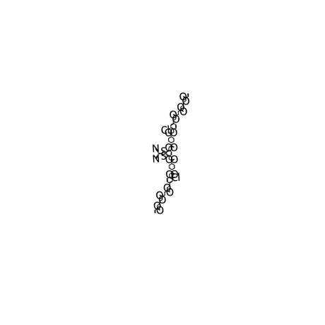 C=CC(=O)OCCOC(=O)CCC(=O)OCc1ccc(OC(=O)[C@H]2CC[C@H](C(=O)Oc3ccc(OC(=O)[C@H]4CC[C@H](C(=O)Oc5ccc(COC(=O)CCC(=O)OCCOC(=O)C=C)cc5Cl)CC4)c4c3SC(=C(C#N)C#N)S4)CC2)c(Cl)c1